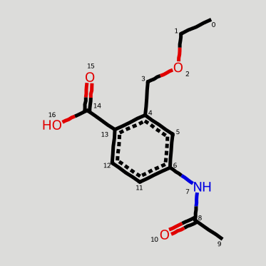 CCOCc1cc(NC(C)=O)ccc1C(=O)O